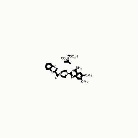 C=C(C)C(=O)O.COc1cc2nc(N3CCN(C(=O)C4COc5ccccc5O4)CC3)nc(N)c2cc1OC.CS(=O)(=O)O